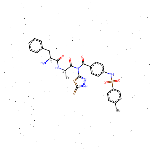 CC(C)[C@H](NC(=O)[C@@H](N)Cc1ccccc1)C(=O)N(C(=O)c1ccc(NS(=O)(=O)c2ccc(C(C)(C)C)cc2)cc1)c1n[nH]c(=S)s1